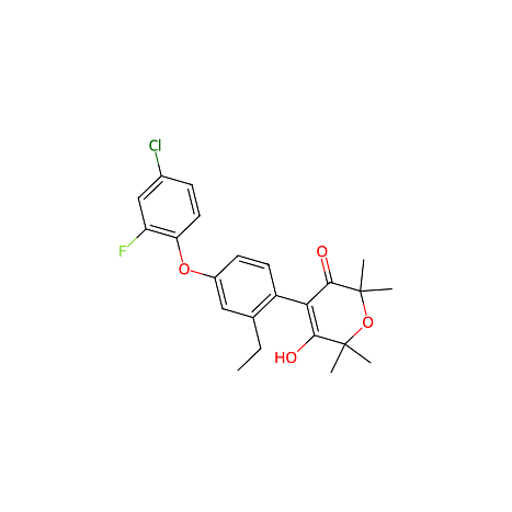 CCc1cc(Oc2ccc(Cl)cc2F)ccc1C1=C(O)C(C)(C)OC(C)(C)C1=O